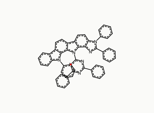 c1ccc(-c2nc(-c3ccccc3)nc(-n3c4c(ccc5c4nc(-c4ccccc4)n5-c4ccccc4)c4ccc5c6ccccc6n(-c6ccccc6)c5c43)n2)cc1